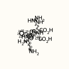 N=C(N)NCCC[C@H](NC(=O)[C@H](CCC(=O)O)NC(=O)[C@H](Cc1ccccc1)NC(=O)[C@@H](N)CCCCN)C(=O)O